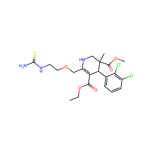 CCOC(=O)C1=C(COCCNC(N)=S)NCC(C)(C(=O)OC)C1c1cccc(Cl)c1Cl